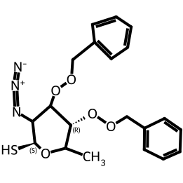 CC1O[C@@H](S)C(N=[N+]=[N-])C(OOCc2ccccc2)[C@@H]1OOCc1ccccc1